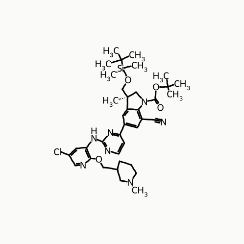 CN1CCCC(COc2ncc(Cl)cc2Nc2nccc(-c3cc(C#N)c4c(c3)[C@@](C)(CO[Si](C)(C)C(C)(C)C)CN4C(=O)OC(C)(C)C)n2)C1